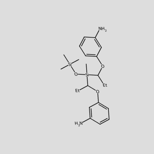 CCC(Oc1cccc(N)c1)[Si](C)(O[Si](C)(C)C)C(CC)Oc1cccc(N)c1